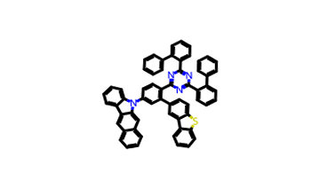 c1ccc(-c2ccccc2-c2nc(-c3ccccc3-c3ccccc3)nc(-c3ccc(-n4c5ccccc5c5cc6ccccc6cc54)cc3-c3ccc4sc5ccccc5c4c3)n2)cc1